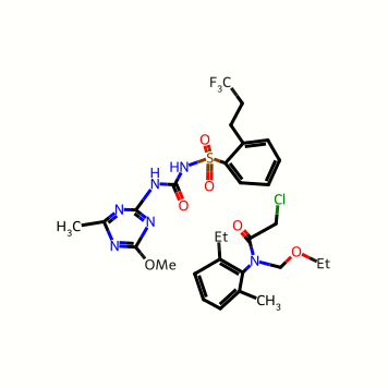 CCOCN(C(=O)CCl)c1c(C)cccc1CC.COc1nc(C)nc(NC(=O)NS(=O)(=O)c2ccccc2CCC(F)(F)F)n1